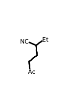 CCC(C#N)CCC(C)=O